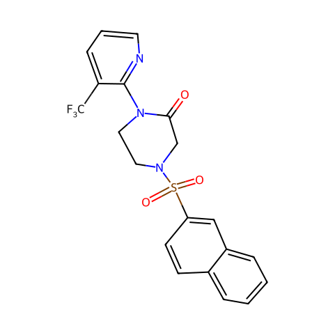 O=C1CN(S(=O)(=O)c2ccc3ccccc3c2)CCN1c1ncccc1C(F)(F)F